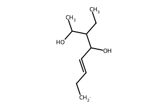 [CH2]CC=CC(O)C(CC)C(C)O